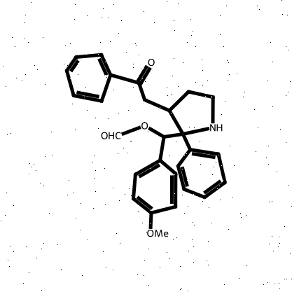 COc1ccc(C(OC=O)C2(c3ccccc3)NCCC2CC(=O)c2ccccc2)cc1